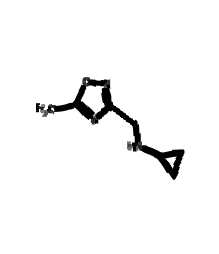 Cc1nc(CNC2CC2)no1